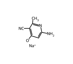 Cc1nc(N)cc([O-])c1C#N.[Na+]